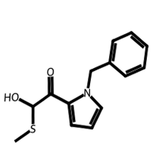 CSC(O)C(=O)c1cccn1Cc1ccccc1